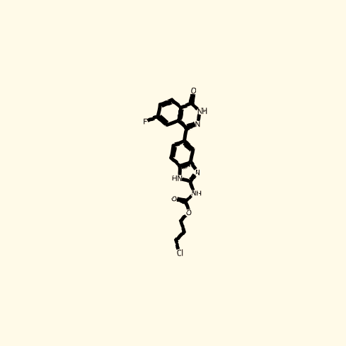 O=C(Nc1nc2cc(-c3n[nH]c(=O)c4ccc(F)cc34)ccc2[nH]1)OCCCCl